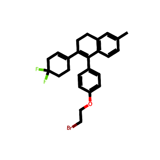 Cc1ccc2c(c1)CCC(C1=CCC(F)(F)CC1)=C2c1ccc(OCCBr)cc1